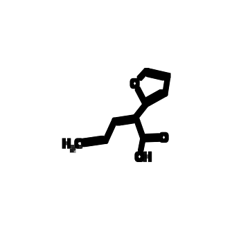 C=CC=C(C(=O)O)c1ccco1